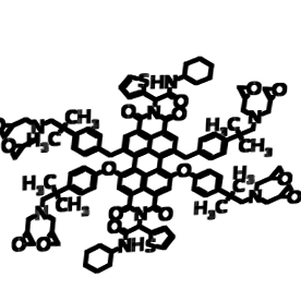 CC(C)(CN(CC1CO1)CC1CO1)c1ccc(Cc2cc3c4c(cc(Cc5ccc(C(C)(C)CN(CC6CO6)CC6CO6)cc5)c5c6c(Oc7ccc(C(C)(C)CN(CC8CO8)CC8CO8)cc7)cc7c8c(cc(Oc9ccc(C(C)(C)CN(CC%10CO%10)CC%10CO%10)cc9)c(c2c45)c86)C(=O)N(C(C(=O)NC2CCCCC2)c2cccs2)C7=O)C(=O)N(C(C(=O)NC2CCCCC2)c2cccs2)C3=O)cc1